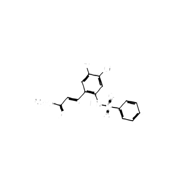 COC(=O)C=Cc1cc(F)c(Cl)cc1NS(=O)(=O)c1ccccc1